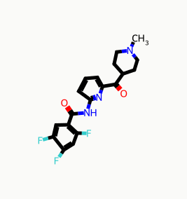 CN1CCC(C(=O)c2cccc(NC(=O)c3cc(F)c(F)cc3F)n2)CC1